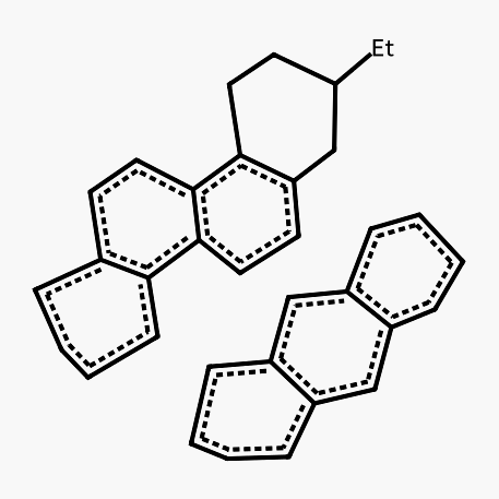 CCC1CCc2c(ccc3c2ccc2ccccc23)C1.c1ccc2cc3ccccc3cc2c1